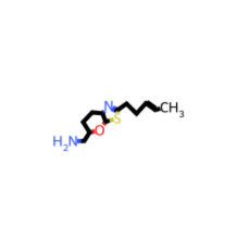 C/C=C/CCC1=NC2CCC(CN)OC2S1